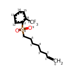 C=CCCCCCCS(=O)(=O)c1ccccc1C(F)(F)F